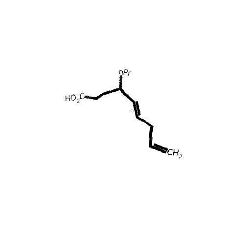 C=CC/C=C/C(CCC)CC(=O)O